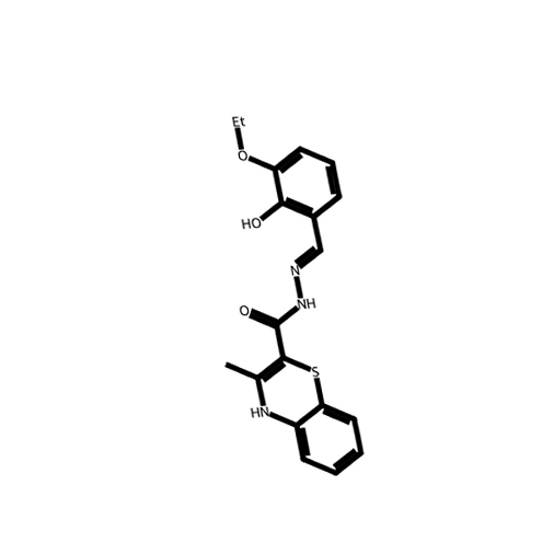 CCOc1cccc(/C=N/NC(=O)C2=C(C)Nc3ccccc3S2)c1O